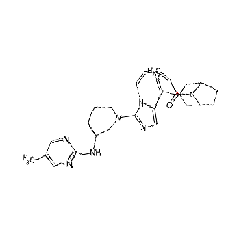 C=CC(=O)N1C2CCC1CN(c1nccn3c(N4CCCC(Nc5ncc(C(F)(F)F)cn5)C4)ncc13)C2